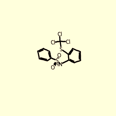 O=S(=O)(Nc1ccccc1SC(Cl)(Cl)Cl)c1ccccc1